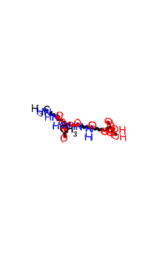 CNCCCNC(=O)CCOCC(COCCC=O)(COCCC(=O)NCCCNC(=O)CCCCO[C@H]1C[C@@H](OC=O)[C@@H](O)[C@@H](CO)O1)NC